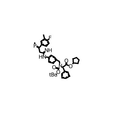 C/P=C(/CC(=N)Nc1ccc(CN(C(=O)OC(C)(C)C)C(C(=O)OC2CCCC2)c2ccccc2)cc1)c1ccc(F)c(C)c1